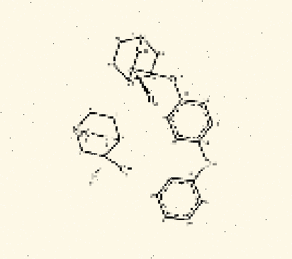 O[C@H]1CN2CCC1CC2.c1ccc(Oc2ccc(O[C@H]3CN4CCC3CC4)cc2)cc1